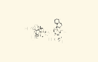 C#C[C@H]1C[C@@H](CO[P@@](=S)(N[C@H](C)C(=O)OC(C)C)Oc2cccc3ccccc23)O[C@H]1n1cnc2c(N(C)C)nc(N)nc21